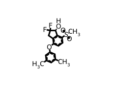 Cc1cc(C)cc(Oc2ccc(S(C)(=O)=O)c3c2CC(F)(F)[C@H]3O)c1